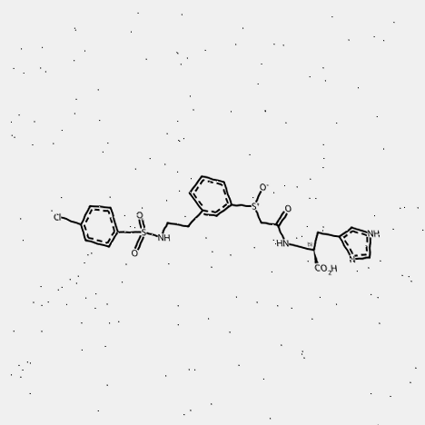 O=C(C[S+]([O-])c1cccc(CCNS(=O)(=O)c2ccc(Cl)cc2)c1)N[C@@H](Cc1c[nH]cn1)C(=O)O